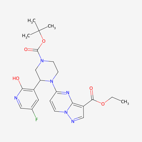 CCOC(=O)c1cnn2ccc(N3CCN(C(=O)OC(C)(C)C)CC3c3cc(F)cnc3O)nc12